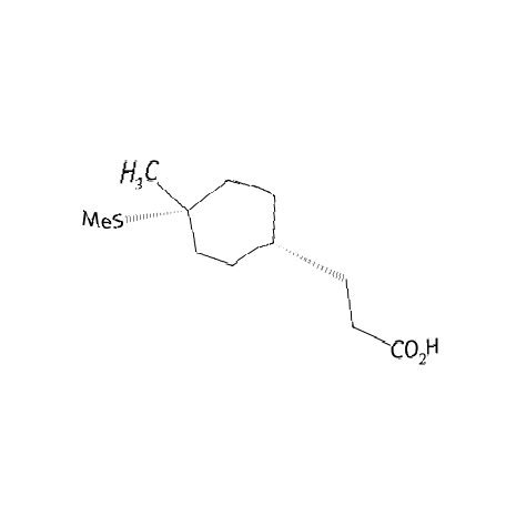 CS[C@]1(C)CC[C@H](CCC(=O)O)CC1